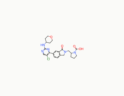 O=C1c2cc(-c3nc(NC4CCOCC4)ncc3Cl)ccc2CN1CC1CCCN1C(=O)O